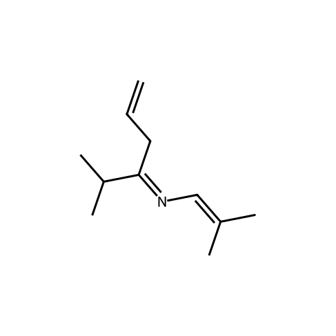 C=CC/C(=N\C=C(C)C)C(C)C